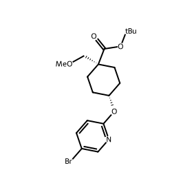 COC[C@]1(C(=O)OC(C)(C)C)CC[C@H](Oc2ccc(Br)cn2)CC1